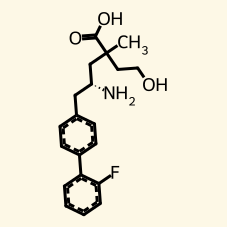 CC(CCO)(C[C@H](N)Cc1ccc(-c2ccccc2F)cc1)C(=O)O